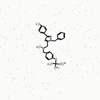 CN(Cc1ccc(OC(C)(C)C(=O)O)cc1)Cc1cc(-c2ccc(C(F)(F)F)cc2)nn1Cc1ccccc1